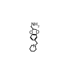 NCC1COc2cc(CN3CCCCC3)ccc2O1